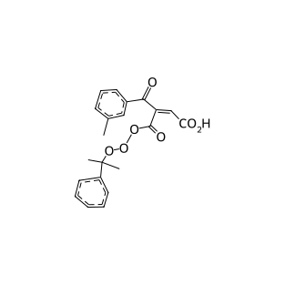 Cc1cccc(C(=O)C(=CC(=O)O)C(=O)OOOC(C)(C)c2ccccc2)c1